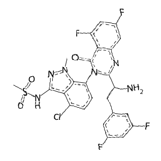 Cn1nc(NS(C)(=O)=O)c2c(Cl)ccc(-n3c(C(N)Cc4cc(F)cc(F)c4)nc4cc(F)cc(F)c4c3=O)c21